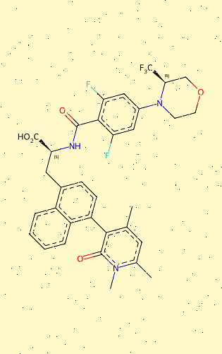 Cc1cc(C)n(C)c(=O)c1-c1ccc(C[C@H](NC(=O)c2c(F)cc(N3CCOC[C@@H]3C(F)(F)F)cc2F)C(=O)O)c2ccccc12